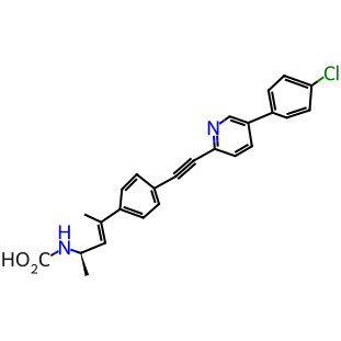 CC(=C[C@@H](C)NC(=O)O)c1ccc(C#Cc2ccc(-c3ccc(Cl)cc3)cn2)cc1